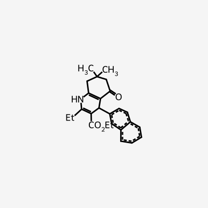 CCOC(=O)C1=C(CC)NC2=C(C(=O)CC(C)(C)C2)C1c1ccc2ccccc2c1